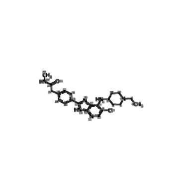 CCN1CCC(Nc2c(Cl)cnc3[nH]c(-c4ccc(CC(=O)NC)cc4)nc23)CC1